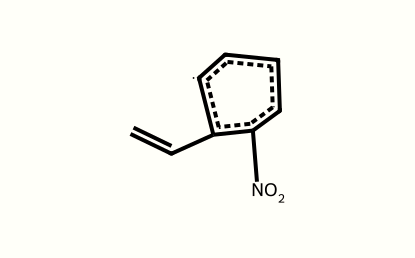 C=Cc1[c]cccc1[N+](=O)[O-]